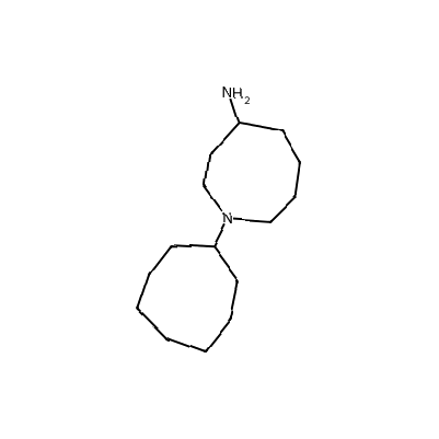 NC1CCCCN(C2CCCCCCC2)CC1